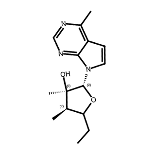 CCC1O[C@@H](n2ccc3c(C)ncnc32)[C@](C)(O)[C@@H]1C